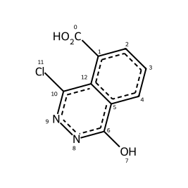 O=C(O)c1cccc2c(O)nnc(Cl)c12